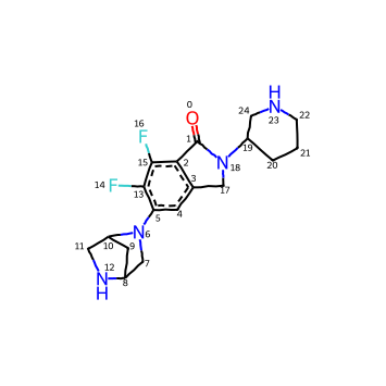 O=C1c2c(cc(N3CC4CC3CN4)c(F)c2F)CN1C1CCCNC1